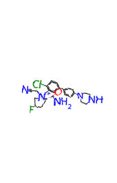 N#CC[N+]1(c2cc(-c3ccc(N4CCNCC4)cc3)ccc2Cl)C[C@@H](F)C[C@H]1C(N)=O